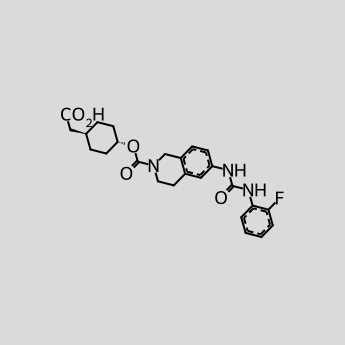 O=C(O)C[C@H]1CC[C@H](OC(=O)N2CCc3cc(NC(=O)Nc4ccccc4F)ccc3C2)CC1